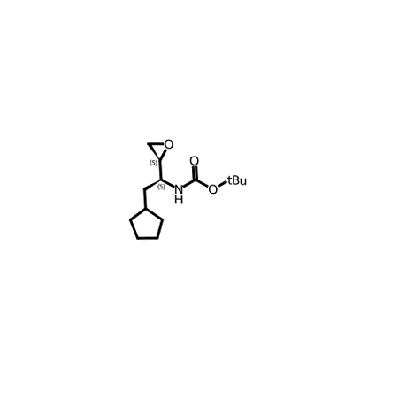 CC(C)(C)OC(=O)N[C@@H](CC1CCCC1)[C@H]1CO1